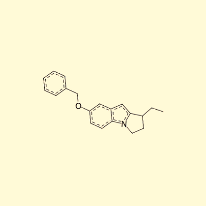 CCC1CCn2c1cc1cc(OCc3ccccc3)ccc12